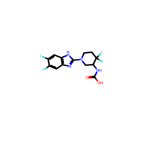 O=C(O)NC1CN(c2nc3cc(F)c(F)cc3[nH]2)CCC1(F)F